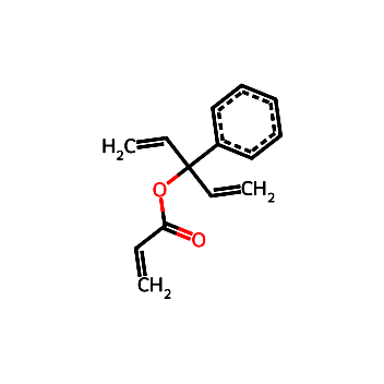 C=CC(=O)OC(C=C)(C=C)c1ccccc1